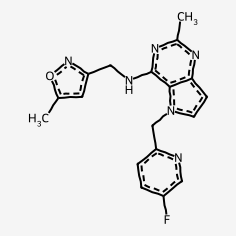 Cc1nc(NCc2cc(C)on2)c2c(ccn2Cc2ccc(F)cn2)n1